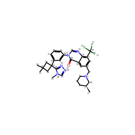 C[C@H]1CCCN(Cc2cc(C(F)(F)F)c3ncn(-c4cccc(C5(c6nncn6C)CC(C)(C)C5)c4)c(=O)c3c2)C1